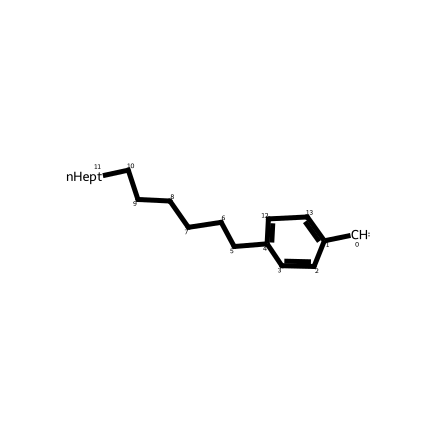 [CH]c1ccc(CCCCCCCCCCCCC)cc1